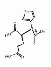 O=C(O)CCC(C(=O)O)N(c1ccsc1)[PH](=O)O